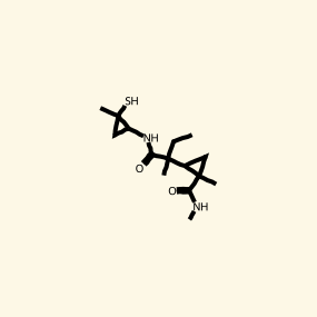 CCC(C)(C(=O)NC1CC1(C)S)C1CC1(C)C(=O)NC